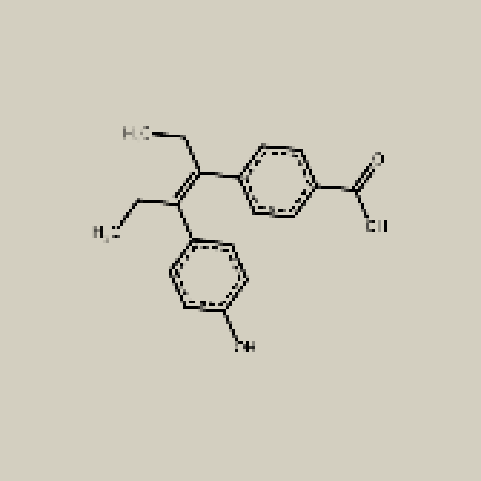 CCC(=C(CC)c1ccc(C(=O)O)cc1)c1ccc(O)cc1